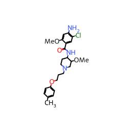 COc1cc(N)c(Cl)cc1C(=O)NC1CCN(CCCOc2ccc(C)cc2)CC1OC